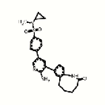 CN(C1CC1)S(=O)(=O)c1ccc(-c2cnc(N)c(-c3ccc4c(c3)CCCCC(=O)N4)c2)cc1